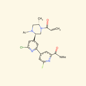 C=CC(=O)N1C[C@@H](c2cc(Cl)nc(-c3cc(F)nc(C(=O)NC)c3)c2)N(C(C)=O)C[C@@H]1C